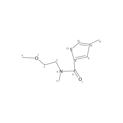 COCCN(C)C(=O)c1cc(C)cs1